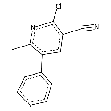 Cc1nc(Cl)c(C#N)cc1-c1ccncc1